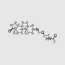 CC(=O)NCCOC/N=C1\CC[C@@]2(C)C(CCC3C2CC[C@]2(C)C(=O)CCC32)C1